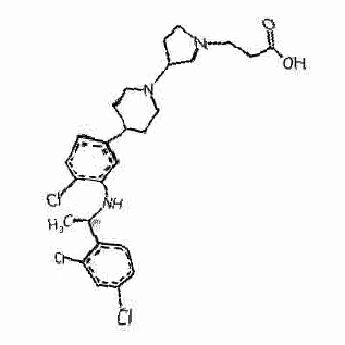 C[C@@H](Nc1cc(C2CCN(C3CCN(CCC(=O)O)C3)CC2)ccc1Cl)c1ccc(Cl)cc1Cl